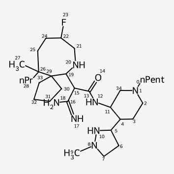 CCCCCN1CCC(C2CCN(C)N2)C(NC(=O)C(C(=N)N)C2NCC(F)CCC(C)(CCC)C23CCCC3)C1